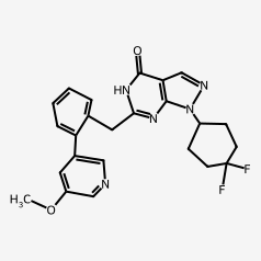 COc1cncc(-c2ccccc2Cc2nc3c(cnn3C3CCC(F)(F)CC3)c(=O)[nH]2)c1